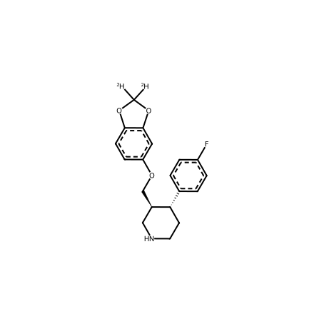 [2H]C1([2H])Oc2ccc(OC[C@@H]3CNCC[C@H]3c3ccc(F)cc3)cc2O1